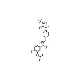 CC(C(=O)NC(C)(C)C)N1CCC(CNC(=O)c2ccc(F)c(OC(F)F)c2)CC1